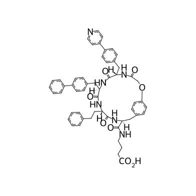 O=C(O)CCCNC(=O)[C@@H]1Cc2ccc(cc2)OCC(=O)N[C@@H](Cc2ccc(-c3ccncc3)cc2)C(=O)N[C@H](Cc2ccc(-c3ccccc3)cc2)C(=O)N[C@@H](CCc2ccccc2)C(=O)N1